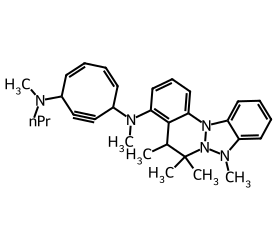 CCCN(C)C1C#CC(N(C)c2cccc3c2C(C)C(C)(C)N2N(C)c4ccccc4N32)/C=C\C=C/1